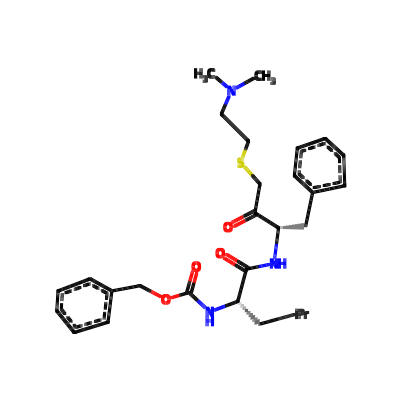 CC(C)C[C@H](NC(=O)OCc1ccccc1)C(=O)N[C@@H](Cc1ccccc1)C(=O)CSCCN(C)C